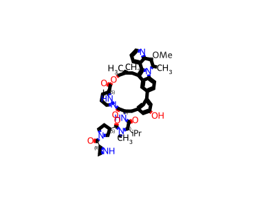 CO[C@@H]1c2ncccc2-c2c3c4cc(ccc4n2C1C)-c1cc(O)cc(c1)C[C@H](NC(=O)[C@H](C(C)C)N(C)C(=O)[C@H]1CCN(C(=O)[C@H]2CN2)C1)C(=O)N1CCC[C@H](N1)C(=O)OCC(C)(C)C3